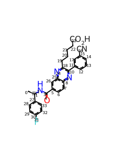 C[C@@H](NC(=O)c1ccc2nc(-c3cccc(C#N)c3)c(CCCCC(=O)O)nc2c1)c1ccc(F)cc1